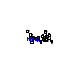 CC1(C)C2=C(C=CC(C3=CCC(C4=CC(C5CC=C(c6ccccc6)CC5)NC(c5ccccc5)N4)C=C3)C2)c2c1cc1ccccc1c2-c1ccccc1